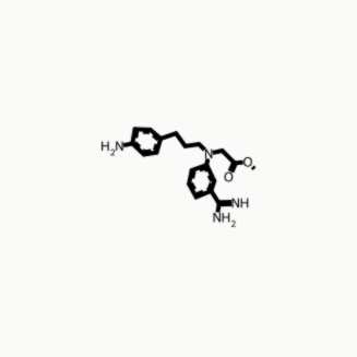 COC(=O)CN(CCCc1ccc(N)cc1)c1cccc(C(=N)N)c1